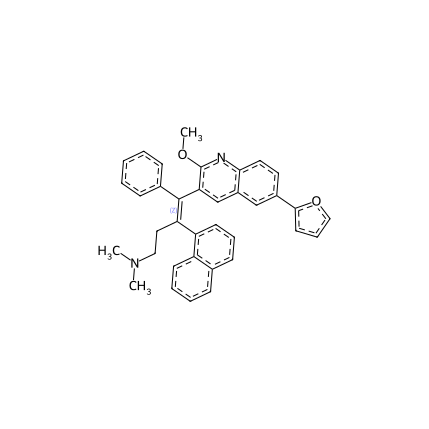 COc1nc2ccc(-c3ccco3)cc2cc1/C(=C(/CCN(C)C)c1cccc2ccccc12)c1ccccc1